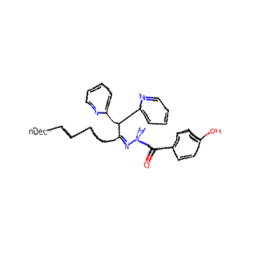 CCCCCCCCCCCCCCC(=NNC(=O)c1ccc(O)cc1)C(c1ccccn1)c1ccccn1